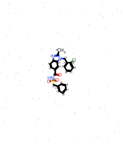 Cc1nc2ccc(C(=O)NS(=O)(=O)Cc3ccccc3)cc2n1Cc1ccccc1Cl